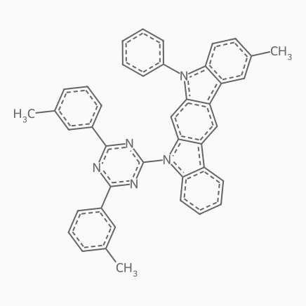 Cc1cccc(-c2nc(-c3cccc(C)c3)nc(-n3c4ccccc4c4cc5c6cc(C)ccc6n(-c6ccccc6)c5cc43)n2)c1